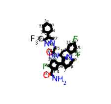 NC(=O)c1cc(-c2cccnc2C(Cc2cc(F)cc(F)c2)NC(=O)Cn2cc(C3CC=CCC3)c(C(F)(F)F)n2)ccc1F